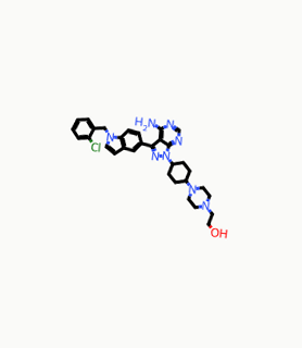 Nc1ncnc2c1c(-c1ccc3c(ccn3Cc3ccccc3Cl)c1)nn2C1CCC(N2CCN(CCO)CC2)CC1